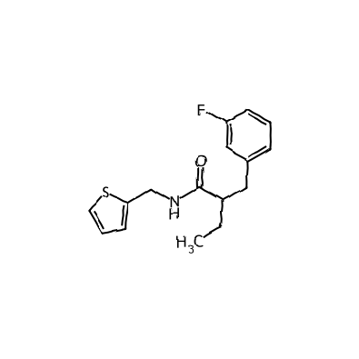 CCC(Cc1cccc(F)c1)C(=O)NCc1cccs1